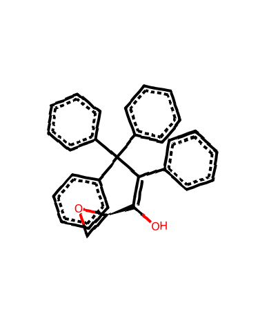 OC(=C(c1ccccc1)C(c1ccccc1)(c1ccccc1)c1ccccc1)[C@H]1CO1